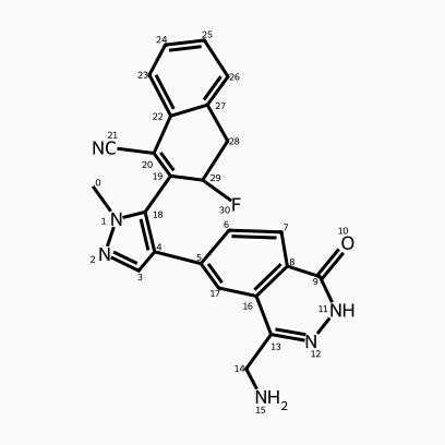 Cn1ncc(-c2ccc3c(=O)[nH]nc(CN)c3c2)c1C1=C(C#N)c2ccccc2CC1F